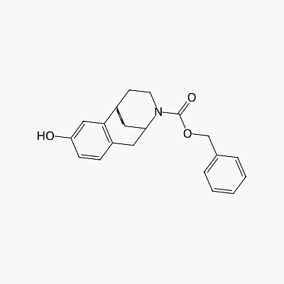 O=C(OCc1ccccc1)N1CCC23CCCCC2C1Cc1ccc(O)cc13